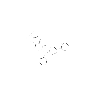 O=C(NC(c1ccccc1)c1ccc(-c2cnccn2)cc1)c1ccc(C(F)(F)F)[nH]c1=O